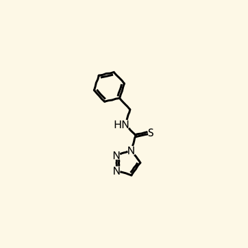 S=C(NCc1ccccc1)n1ccnn1